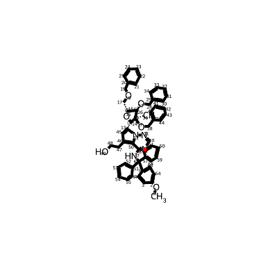 COc1ccc(C(Nc2ncnn3c([C@@H]4O[C@H](COCc5ccccc5)[C@@H](OCc5ccccc5)[C@@]4(C)OCc4ccccc4)cc(CCO)c23)(c2ccccc2)c2ccccc2)cc1